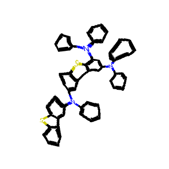 c1ccc(N(c2ccc3sc4ccccc4c3c2)c2ccc3sc4c(N(c5ccccc5)c5ccccc5)cc(N(c5ccccc5)c5ccccc5)cc4c3c2)cc1